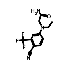 CCN(CC(N)=O)c1ccc(C#N)c(C(F)(F)F)c1